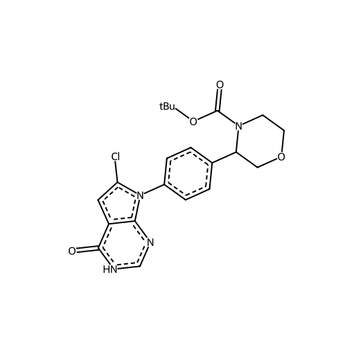 CC(C)(C)OC(=O)N1CCOCC1c1ccc(-n2c(Cl)cc3c(=O)[nH]cnc32)cc1